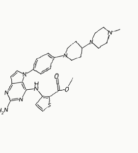 COC(=O)c1sccc1Nc1nc(N)nc2ccn(-c3ccc(N4CCC(N5CCN(C)CC5)CC4)cc3)c12